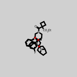 CCOC(=O)C1(C(=O)N2CCC(CCN3C4CCC3CC(n3c(C)nc5ccccc53)C4)(c3cccc(F)c3)CC2)CCC1